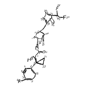 O=C(NC1(c2ccc(F)cc2)CC1)Oc1ncc(-c2nnc(C(F)F)o2)cn1